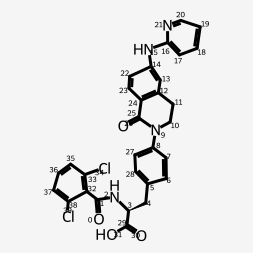 O=C(N[C@@H](Cc1ccc(N2CCc3cc(Nc4ccccn4)ccc3C2=O)cc1)C(=O)O)c1c(Cl)cccc1Cl